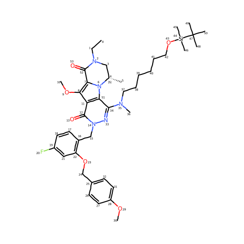 CCN1C[C@H](C)n2c(c(OC)c3c(=O)n(Cc4ccc(F)cc4OCc4ccc(OC)cc4)nc(N(C)CCCCCCO[Si](C)(C)C(C)(C)C)c32)C1=O